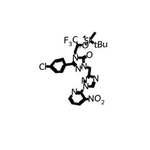 CC(C)(C)[Si](C)(C)O[C@@H](Cn1c(-c2ccc(Cl)cc2)nn(Cc2ncn(-c3ncccc3[N+](=O)[O-])n2)c1=O)C(F)(F)F